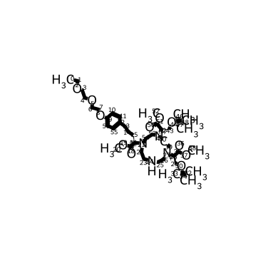 CCOCCOCCOc1ccc(CCC[C@@H](C(=O)OC)N2CCNCCN([C@H](COC(C)(C)C)C(=O)OC)CCN([C@@H](COC(C)(C)C)C(=O)OC)CC2)cc1